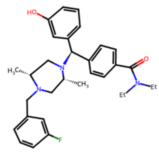 CCN(CC)C(=O)c1ccc([C@H](c2cccc(O)c2)N2C[C@@H](C)N(Cc3cccc(F)c3)C[C@H]2C)cc1